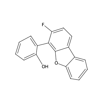 Oc1ccccc1-c1c(F)ccc2c1oc1ccccc12